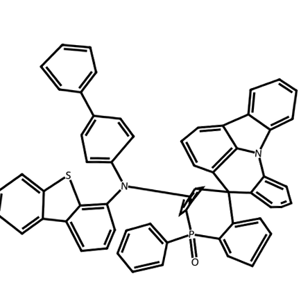 O=P1(c2ccccc2)c2ccccc2C2(c3ccccc3-n3c4ccccc4c4cccc2c43)c2ccc(N(c3ccc(-c4ccccc4)cc3)c3cccc4c3sc3ccccc34)cc21